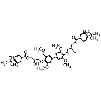 COCc1cc(-c2cc(OC)c(OCC(O)COC(=O)c3ccc(C(C)(C)C)cc3)c(OC)c2)cc(OC)c1OCC(O)COC(=O)C1C=CC(C(C)(C)C)=CC1